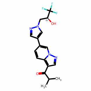 CC(C)C(=O)c1cnn2cc(-c3cnn(C[C@H](O)C(F)(F)F)c3)ccc12